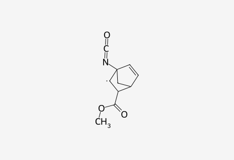 COC(=O)C1[CH]C2(N=C=O)C=CC1C2